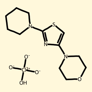 [O-][Cl+3]([O-])([O-])O.c1sc(N2CCCCC2)nc1N1CCOCC1